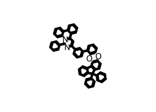 c1ccc(-c2nc(-c3cccc(-c4cccc5c4Oc4c(ccc6c4-c4ccccc4C6(c4ccccc4)c4ccccc4)O5)c3)cc(-c3ccccc3-c3ccccc3)n2)cc1